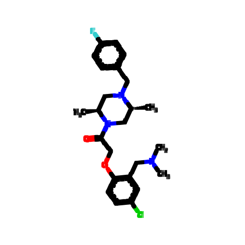 C[C@@H]1CN(C(=O)COc2ccc(Cl)cc2CN(C)C)[C@@H](C)CN1Cc1ccc(F)cc1